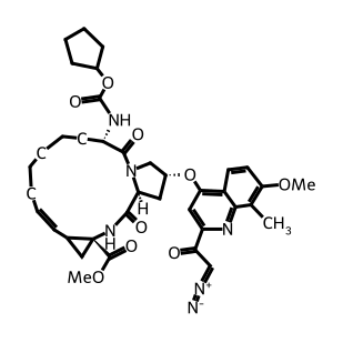 COC(=O)[C@@]12CC1/C=C\CCCCC[C@H](NC(=O)OC1CCCC1)C(=O)N1C[C@H](Oc3cc(C(=O)C=[N+]=[N-])nc4c(C)c(OC)ccc34)C[C@H]1C(=O)N2